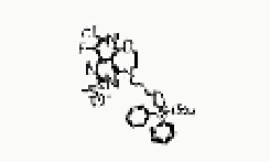 C[S+]([O-])c1nc2c3c(nc(Cl)c(F)c3n1)OCCN2CCCO[Si](c1ccccc1)(c1ccccc1)C(C)(C)C